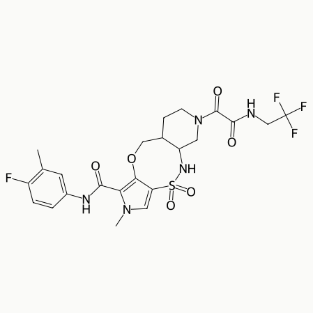 Cc1cc(NC(=O)c2c3c(cn2C)S(=O)(=O)NC2CN(C(=O)C(=O)NCC(F)(F)F)CCC2CO3)ccc1F